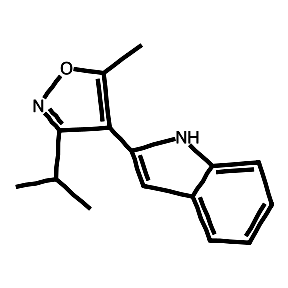 Cc1onc(C(C)C)c1-c1cc2ccccc2[nH]1